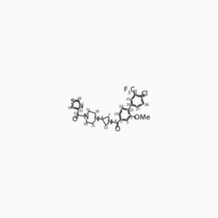 COc1cc(C(=O)N2CC(N3CCN(C(=O)c4cscn4)CC3)C2)ccc1-c1ccc(Cl)c(C(F)(F)F)c1